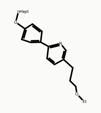 CCCCCCCOc1ccc(-c2ccc(CCCOCC)cn2)cc1